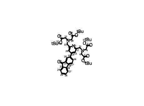 CC(C)(C)OC(=O)CN(CC(=O)OC(C)(C)C)Cc1cc(-c2ccc3c(c2)C(=O)c2ccccc2-3)cc(CN(CC(=O)OC(C)(C)C)CC(=O)OC(C)(C)C)n1